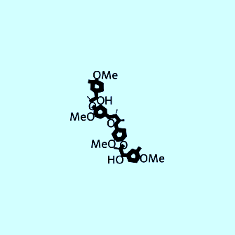 COc1ccc([C@@H](O)[C@@H](C)Oc2ccc(C3OC(c4ccc(O[C@H](C)[C@H](O)c5ccc(OC)c(C)c5)c(OC)c4)[C@H](C)[C@H]3C)cc2OC)cc1C